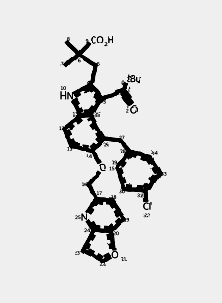 CC(C)(C)C(=O)c1c(CC(C)(C)C(=O)O)[nH]c2ccc(OCc3ccc4occc4n3)c(Cc3ccc(Cl)cc3)c12